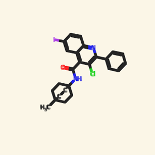 CC12CCC(NC(=O)c3c(Cl)c(-c4ccccc4)nc4ccc(I)cc34)(CC1)CC2